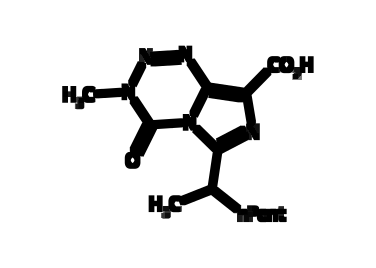 CCCCCC(C)c1nc(C(=O)O)c2nnn(C)c(=O)n12